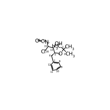 CC(C)(C)O[C@@H](Cc1ccccc1)[C@H](O)C(Cl)N=C=O